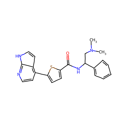 CN(C)CC(NC(=O)c1ccc(-c2ccnc3[nH]ccc23)s1)c1ccccc1